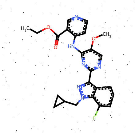 CCOC(=O)c1cnccc1Nc1nc(-c2nn(CC3CC3)c3c(F)cccc23)ncc1OC